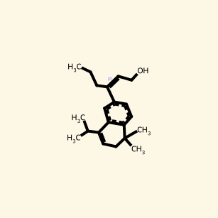 CCC/C(=C/CO)c1ccc2c(c1)C(C(C)C)=CCC2(C)C